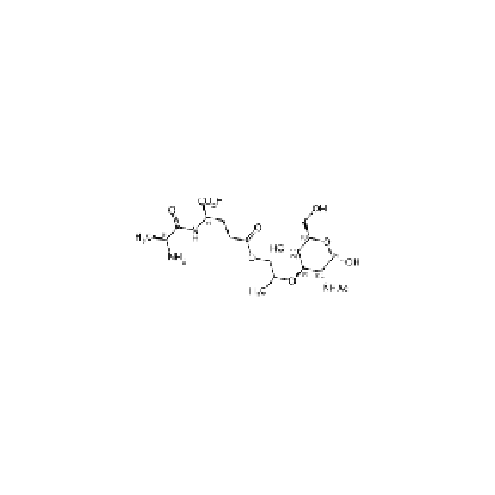 CC(=O)N[C@@H]1[C@@H](OC(C)COC(=O)CC[C@@H](NC(=O)[C@H](C)N)C(=O)O)[C@H](O)[C@@H](CO)O[C@@H]1O